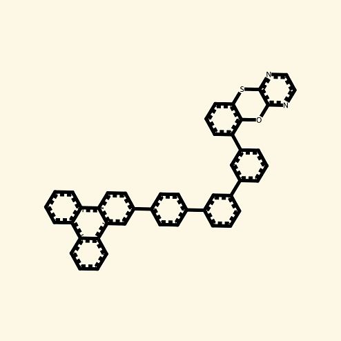 c1cc(-c2ccc(-c3ccc4c5ccccc5c5ccccc5c4c3)cc2)cc(-c2cccc(-c3cccc4c3Oc3nccnc3S4)c2)c1